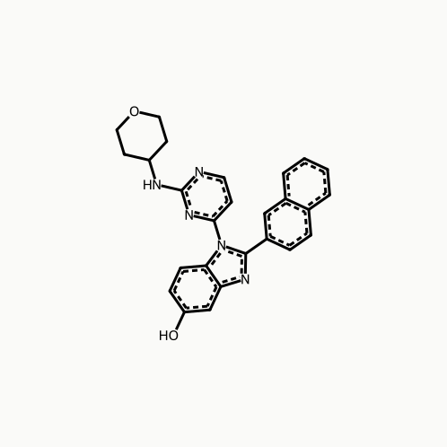 Oc1ccc2c(c1)nc(-c1ccc3ccccc3c1)n2-c1ccnc(NC2CCOCC2)n1